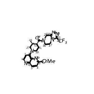 COc1ccc2nccc(N3CC[C@H](C(=O)N4CCn5c(nnc5C(F)(F)F)C4)[C@H](C)C3)c2n1